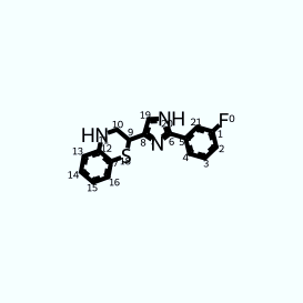 Fc1cccc(-c2nc(C3CNc4ccccc4S3)c[nH]2)c1